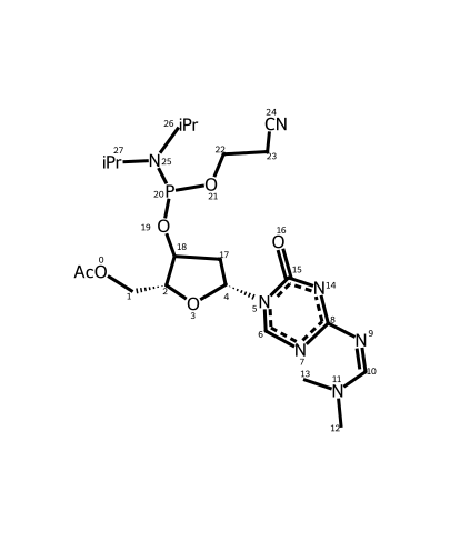 CC(=O)OC[C@H]1O[C@@H](n2cnc(/N=C\N(C)C)nc2=O)CC1OP(OCCC#N)N(C(C)C)C(C)C